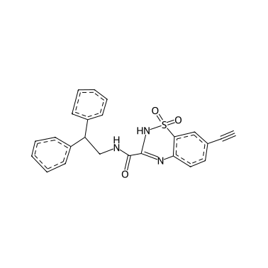 C#Cc1ccc2c(c1)S(=O)(=O)NC(C(=O)NCC(c1ccccc1)c1ccccc1)=N2